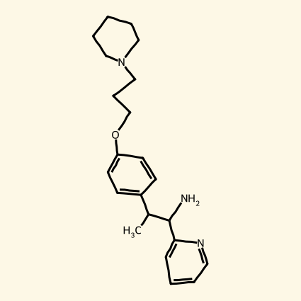 CC(c1ccc(OCCCN2CCCCC2)cc1)C(N)c1ccccn1